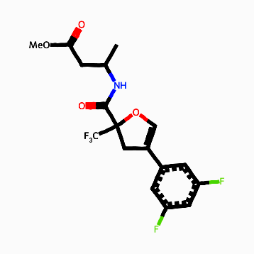 COC(=O)CC(C)NC(=O)C1(C(F)(F)F)CC(c2cc(F)cc(F)c2)=CO1